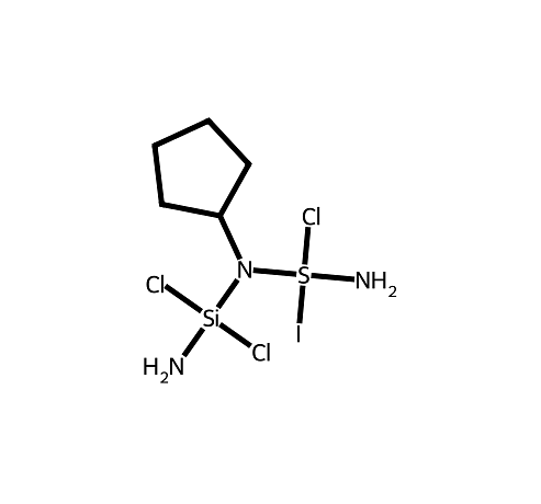 N[Si](Cl)(Cl)N(C1CCCC1)S(N)(Cl)I